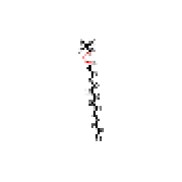 [CH2]C(C)(C)COCCCCCCCCCCCCCC